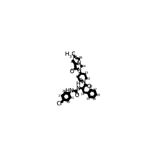 CN1C=C2C(=O)N(C3CCN(C(=O)C(Cc4ccccc4)NC(=O)Nc4ccc(Cl)cc4)CC3)CN2C1